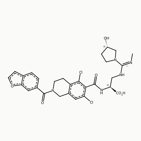 C/N=C(/NC[C@H](NC(=O)c1c(Cl)cc2c(c1Cl)CCN(C(=O)c1ccc3ccoc3c1)C2)C(=O)O)N1CC[C@H](O)C1